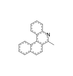 Cc1nc2ccccc2c2c1ccc1ccccc12